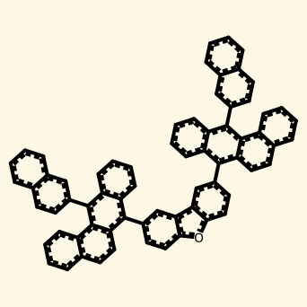 c1ccc2cc(-c3c4ccccc4c(-c4ccc5oc6ccc(-c7c8ccccc8c(-c8ccc9ccccc9c8)c8c7ccc7ccccc78)cc6c5c4)c4ccc5ccccc5c34)ccc2c1